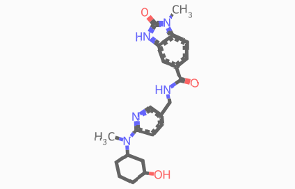 CN(c1ccc(CNC(=O)c2ccc3c(c2)[nH]c(=O)n3C)cn1)C1CCCC(O)C1